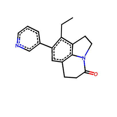 CCc1c(-c2cccnc2)cc2c3c1CCN3C(=O)CC2